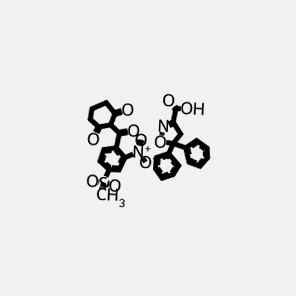 CS(=O)(=O)c1ccc(C(=O)C2C(=O)CCCC2=O)c([N+](=O)[O-])c1.O=C(O)C1=NOC(c2ccccc2)(c2ccccc2)C1